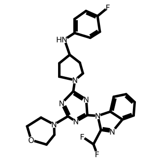 Fc1ccc(NC2CCN(c3nc(N4CCOCC4)nc(-n4c(C(F)F)nc5ccccc54)n3)CC2)cc1